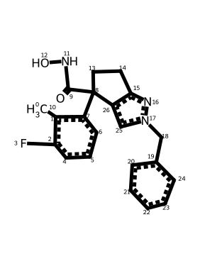 Cc1c(F)cccc1C1(C(=O)NO)CCc2nn(Cc3ccccc3)cc21